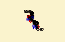 COc1ccc2c(c1)C(=O)N(C[C@@]1(C#Cc3ccc4c(c3)CCC[C@@H]4NC(=O)NC=O)NC(=O)NC1=O)C2